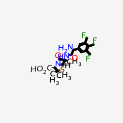 CC1(C)S[C@H]2N(C(=O)C2(C)NC(=O)C(N)c2cc(CF)c(CF)c(CF)c2)[C@H]1C(=O)O